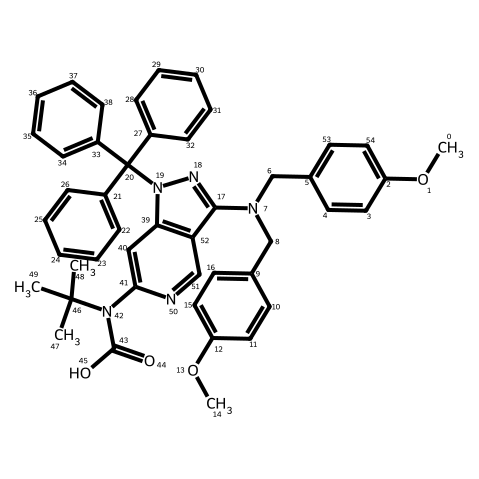 COc1ccc(CN(Cc2ccc(OC)cc2)c2nn(C(c3ccccc3)(c3ccccc3)c3ccccc3)c3cc(N(C(=O)O)C(C)(C)C)ncc23)cc1